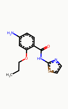 CCCOc1cc(N)ccc1C(=O)Nc1nccs1